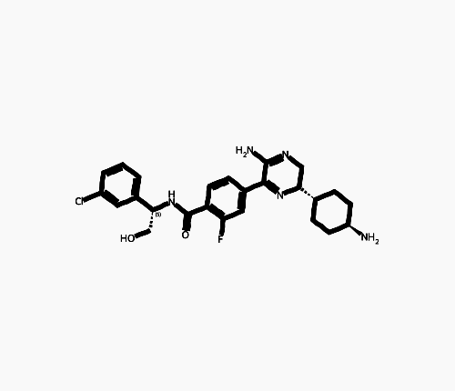 NC1=NCC([C@H]2CC[C@H](N)CC2)N=C1c1ccc(C(=O)N[C@H](CO)c2cccc(Cl)c2)c(F)c1